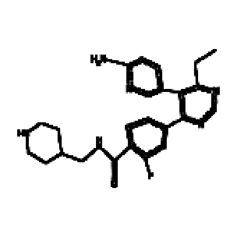 CCc1ncnc(-c2ccc(C(=O)NCC3CCNCC3)c(F)c2)c1-c1ccc(N)nc1